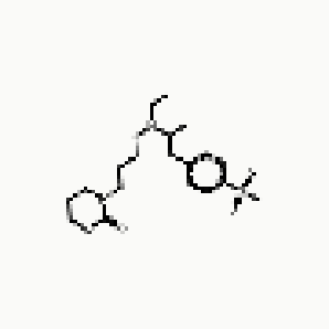 CCN(CCCCN1CCCSC1=O)C(C)Cc1ccc(S(C)(=O)=O)cc1